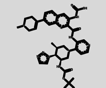 C[C@H]1CN(c2ccncc2NC(=O)c2nc3cc(C4=CCN(C)CC4)ccc3cc2NC(=O)O)C[C@@H](NC(=O)OC(C)(C)C)[C@H]1n1ccnn1